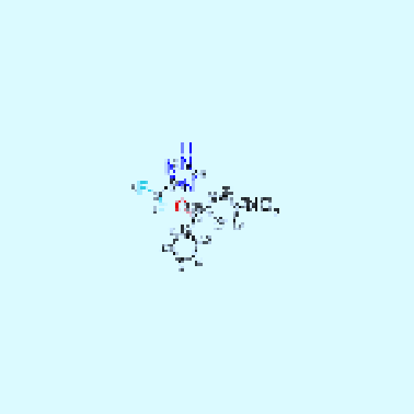 FC(F)c1nc[nH]n1.O=C(c1ccccc1)c1ccc([N+](=O)[O-])cc1